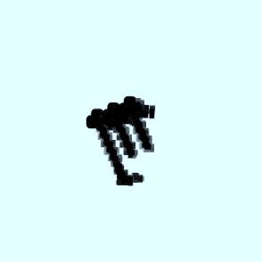 CCCCCCCCCCC(C(=O)[O-])C(C)S.CCCCCCCCCCC(C(=O)[O-])C(C)S.CCCCCCCCCCC(C(=O)[O-])C(C)S.CCC[CH2][Sn+3]